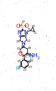 CS(=O)(=O)c1nc2c(n1C1CC1)CN([C@H]1CO[C@H](c3cc(F)ccc3F)[C@@H](N)C1)C2